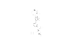 CC(C)(C)OC(=O)Nc1cccc(-c2cn(C3CCCC(=O)NC3=O)nn2)c1